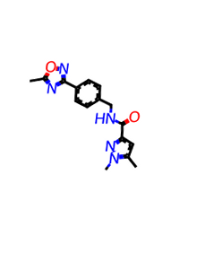 Cc1nc(-c2ccc(CNC(=O)c3cc(C)n(C)n3)cc2)no1